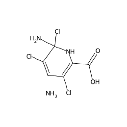 N.NC1(Cl)NC(C(=O)O)=C(Cl)C=C1Cl